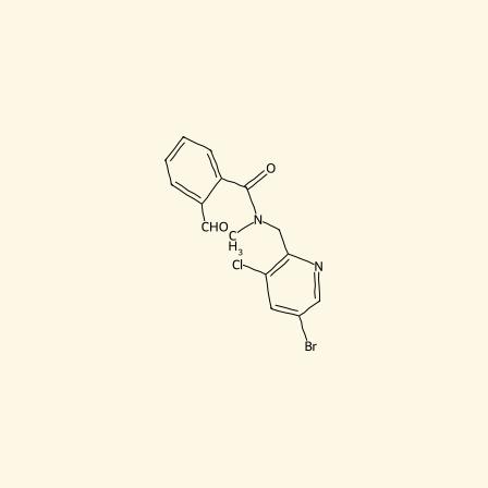 CN(Cc1ncc(Br)cc1Cl)C(=O)c1ccccc1C=O